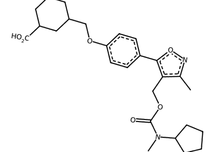 Cc1noc(-c2ccc(OCC3CCCC(C(=O)O)C3)cc2)c1COC(=O)N(C)C1CCCC1